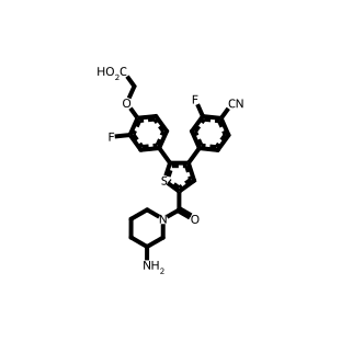 N#Cc1ccc(-c2cc(C(=O)N3CCCC(N)C3)sc2-c2ccc(OCC(=O)O)c(F)c2)cc1F